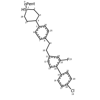 CCCCC[SiH]1CCC(c2ccc(CCc3ccc(-c4ccc(Cl)cc4)c(F)c3)cc2)CC1